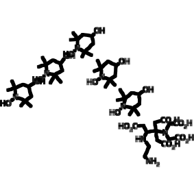 CC1(C)CC(O)CC(C)(C)N1O.CC1(C)CC(O)CC(C)(C)N1O.CC1(C)CC(O)CC(C)(C)N1O.CC1(C)CC(O)CC(C)(C)N1O.CC1(C)CC(O)CC(C)(C)N1O.NCCNC(CC(=O)O)C(CC(=O)O)(CC(=O)O)N(CC(=O)O)CC(=O)O